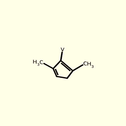 CC1=CCC(C)=[C]1[V]